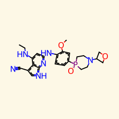 CCNc1cc(Nc2ccc(P3(=O)CCN(C4COC4)CC3)cc2OC)nc2[nH]cc(C#N)c12